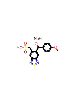 COc1ccc(C(=O)c2cc3nsnc3cc2CS(=O)(=O)O)cc1.[NaH]